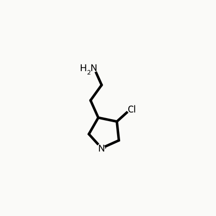 NCCC1C[N]CC1Cl